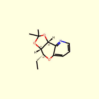 CC[C@H]1Oc2cccnc2[C@H]2OC(C)(C)O[C@H]21